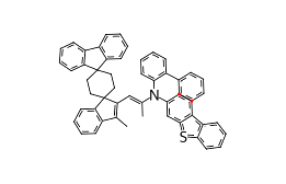 CC1=C(/C=C(\C)N(c2ccc3c(c2)sc2ccccc23)c2ccccc2-c2ccccc2)C2(CCC3(CC2)c2ccccc2-c2ccccc23)c2ccccc21